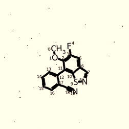 COc1c(F)cc2cnsc2c1-c1ccccc1C#N